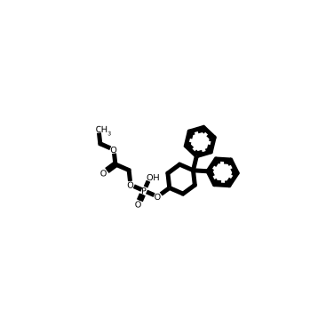 CCOC(=O)COP(=O)(O)OC1CCC(c2ccccc2)(c2ccccc2)CC1